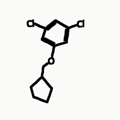 Clc1cc(Cl)cc(OCC2CCCC2)c1